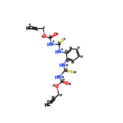 C#CCOC(=O)NC(=S)Nc1ccccc1NC(=S)NC(=O)OCC#C